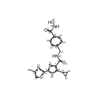 Cc1csc(-c2nc(C(=O)NCc3ccc(C(=O)NO)cc3)c(C3CC3)s2)n1